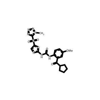 COc1ccc(NC(=O)Nc2ncc(S(=O)(=O)c3nnnn3C)s2)c(C(=O)C2CCCC2)c1